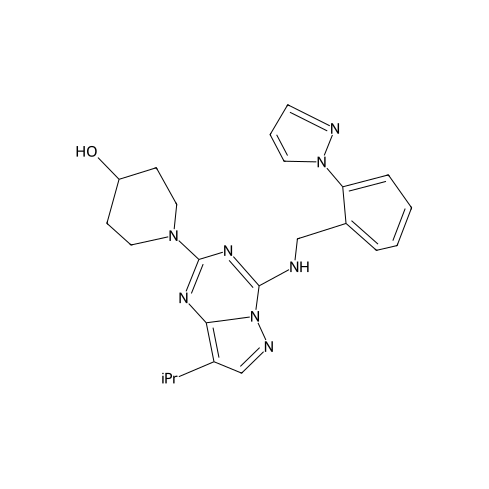 CC(C)c1cnn2c(NCc3ccccc3-n3cccn3)nc(N3CCC(O)CC3)nc12